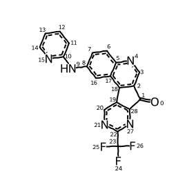 O=C1c2cnc3ccc(Nc4ccccn4)cc3c2-c2cnc(C(F)(F)F)nc21